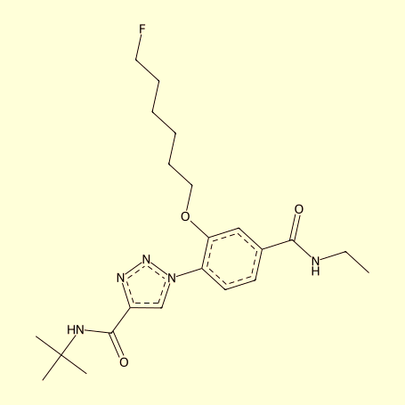 CCNC(=O)c1ccc(-n2cc(C(=O)NC(C)(C)C)nn2)c(OCCCCCCF)c1